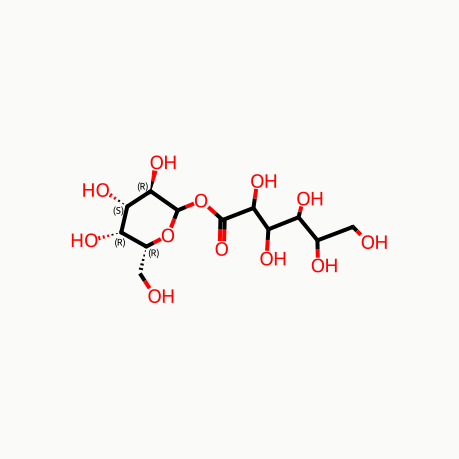 O=C(OC1O[C@H](CO)[C@H](O)[C@H](O)[C@H]1O)C(O)C(O)C(O)C(O)CO